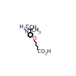 CC1=Nc2ccc(OCCCCCC(=O)O)cc2C1(C)C